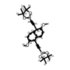 COc1ccc2c(C#CB3OC(C)(C)C(C)(C)O3)c(OC)ccc2c1C#CB1OC(C)(C)C(C)(C)O1